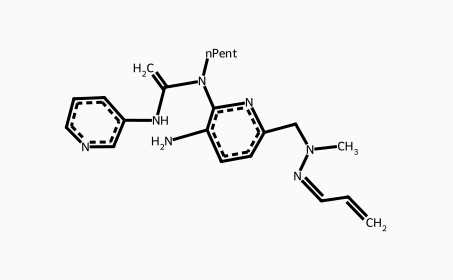 C=C/C=N\N(C)Cc1ccc(N)c(N(CCCCC)C(=C)Nc2cccnc2)n1